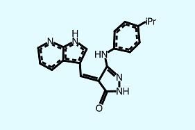 CC(C)c1ccc(NC2=NNC(=O)C2=Cc2c[nH]c3ncccc23)cc1